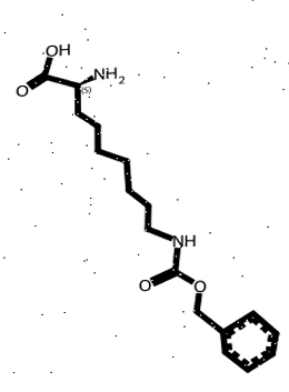 N[C@@H](CCCCCCCNC(=O)OCc1ccccc1)C(=O)O